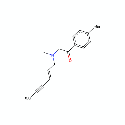 CN(CC=CC#CC(C)(C)C)CC(=O)c1ccc(C(C)(C)C)cc1